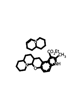 C1=CN2CCCCC2CC1.CCOC(=O)c1c(C)[nH]c2ccc3c(c12)CC1CCC2CCCCN2C1O3